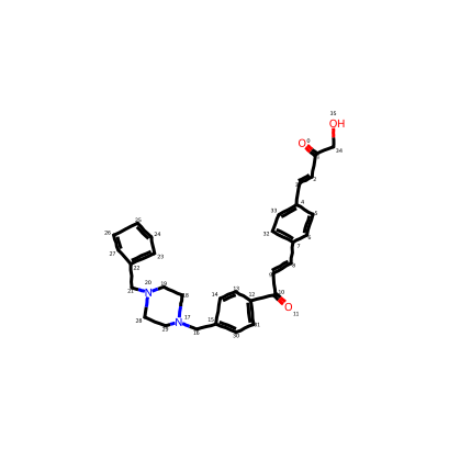 O=C(/C=C/c1ccc(/C=C/C(=O)c2ccc(CN3CCN(Cc4ccccc4)CC3)cc2)cc1)CO